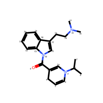 CC(C)N1C=CCC(C(=O)n2cc(CCN(C)C)c3ccccc32)=C1